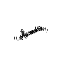 CC(=O)N1CCc2c(c(-c3cccc4cc(-c5ccc(N6CCC7(CCN(c8ccc(C(=O)OC(C)(C)C)cc8)CC7)CC6)nc5)ncc34)nn2C2CCOCC2)C1